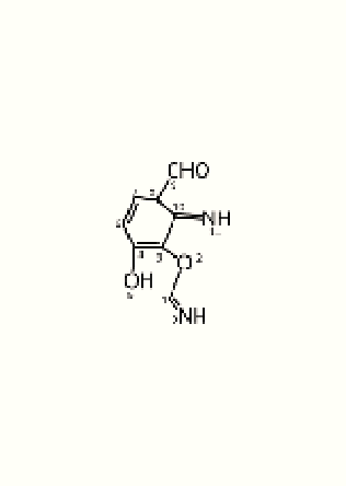 N=COC1=C(O)C=CC(C=O)C1=N